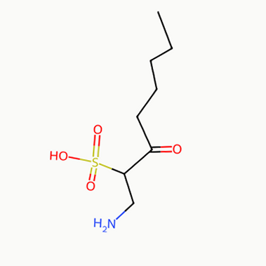 CCCCCC(=O)C(CN)S(=O)(=O)O